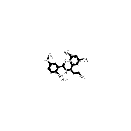 CCCC(NC(=O)c1cc(OC)ccc1O)c1cc(C)cc(N)n1.Cl